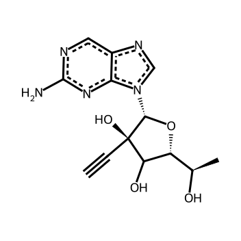 C#C[C@@]1(O)C(O)[C@@H]([C@@H](C)O)O[C@H]1n1cnc2cnc(N)nc21